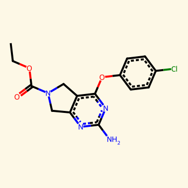 CCOC(=O)N1Cc2nc(N)nc(Oc3ccc(Cl)cc3)c2C1